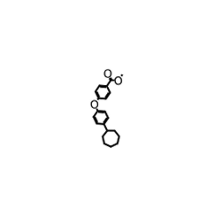 COC(=O)c1ccc(Oc2ccc(C3CCCCCC3)cc2)cc1